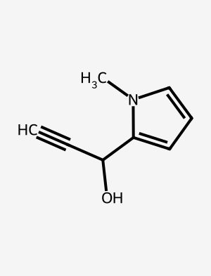 C#CC(O)c1cccn1C